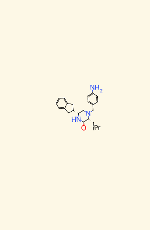 CC(C)C[C@@H]1C(=O)N[C@H](C2Cc3ccccc3C2)CN1Cc1ccc(N)cc1